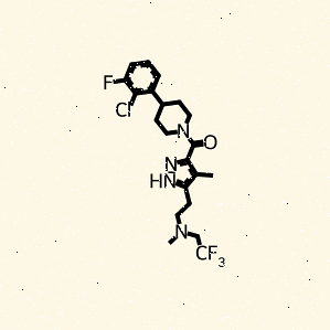 Cc1c(C(=O)N2CCC(c3cccc(F)c3Cl)CC2)n[nH]c1CCN(C)CC(F)(F)F